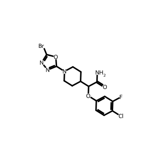 NC(=O)C(Oc1ccc(Cl)c(F)c1)C1CCN(c2nnc(Br)o2)CC1